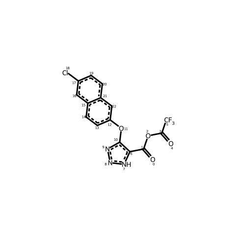 O=C(OC(=O)C(F)(F)F)c1[nH]nnc1Oc1ccc2cc(Cl)ccc2c1